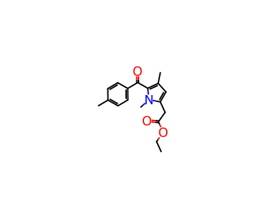 CCOC(=O)Cc1cc(C)c(C(=O)c2ccc(C)cc2)n1C